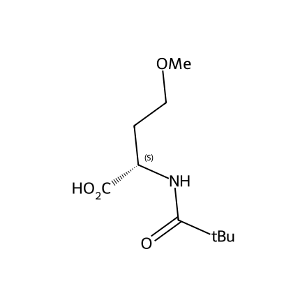 COCC[C@H](NC(=O)C(C)(C)C)C(=O)O